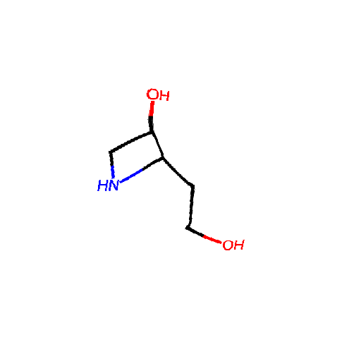 OCCC1NCC1O